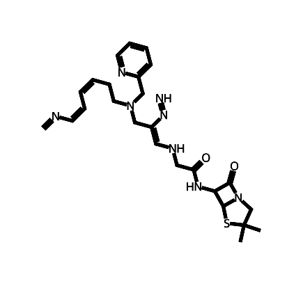 C=N/C=C\C=C/CCN(C/C(=C/NCC(=O)NC1C(=O)N2CC(C)(C)SC12)N=N)Cc1ccccn1